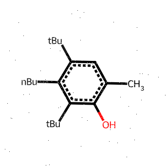 CCCCc1c(C(C)(C)C)cc(C)c(O)c1C(C)(C)C